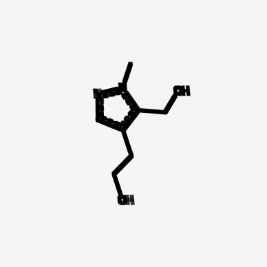 Cn1ncc(CCO)c1CO